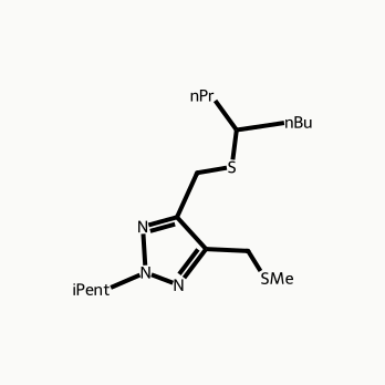 CCCCC(CCC)SCc1nn(C(C)CCC)nc1CSC